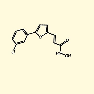 O=C(C=Cc1ccc(-c2cccc(Cl)c2)o1)NO